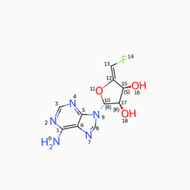 Nc1ncnc2c1ncn2[C@@H]1OC(=CF)[C@@H](O)[C@H]1O